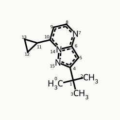 CC(C)(C)c1cc2nccc(C3CC3)n2n1